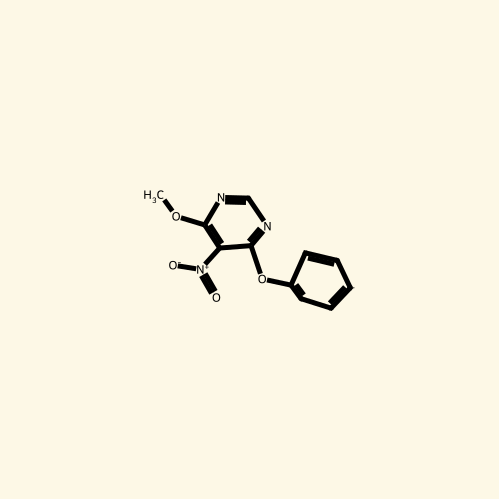 COc1ncnc(Oc2cc[c]cc2)c1[N+](=O)[O-]